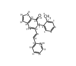 Cc1ccccc1-n1c(C=Cc2ccccn2)nc2ccsc2c1=O